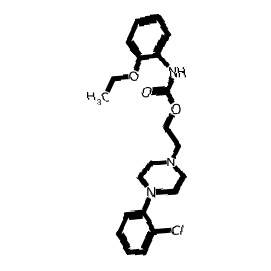 CCOc1ccccc1NC(=O)OCCN1CCN(c2ccccc2Cl)CC1